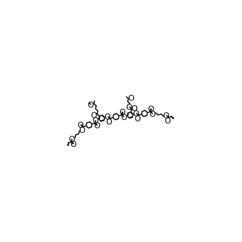 C=CC(=O)OCCCCOC(=O)C1CCC(C(=O)Oc2ccc(OC(=O)C3CCC(C(=O)Oc4ccc(OC(=O)C5CCC(C(=O)OCCCCOC(=O)C=C)CC5)c(C(=O)OCCC(C)OC)c4)CC3)cc2C(=O)CCCC(C)OC)CC1